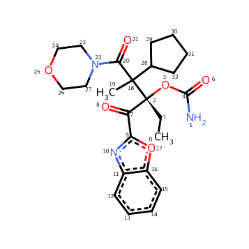 CC[C@@](OC(N)=O)(C(=O)c1nc2ccccc2o1)C(C)(C(=O)N1CCOCC1)C1CCCC1